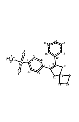 CS(=O)(=O)c1ccc(C2=C(c3cccnc3)CC3(CCC3)C2)cc1